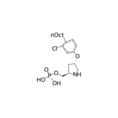 CCCCCCCCc1ccc(O[C@@H]2CN[C@@H](COP(=O)(O)O)C2)cc1Cl